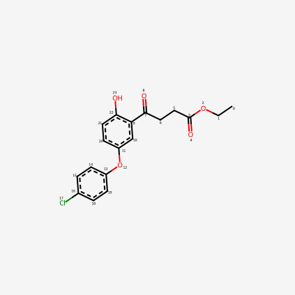 CCOC(=O)CCC(=O)c1cc(Oc2ccc(Cl)cc2)ccc1O